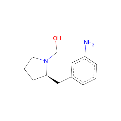 Nc1cccc(C[C@H]2CCCN2CO)c1